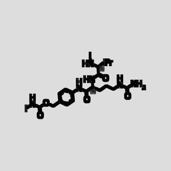 CC(C)[C@H](NI)C(=O)N[C@@H](CCCNC(N)=O)C(=O)Nc1ccc(COC(=O)NI)cc1